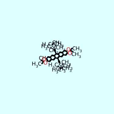 CCC1(CC)Oc2cc3cc4c(C#C[Si](C(C)C)(C(C)C)C(C)C)c5cc6cc7c(cc6cc5c(C#C[Si](C(C)C)(C(C)C)C(C)C)c4cc3cc2O1)OC(CC)(CC)O7